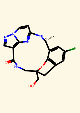 C[C@H]1Nc2ccn3ncc(c3n2)C(=O)NCC2(CO)Cc3cc(F)cc1c3O2